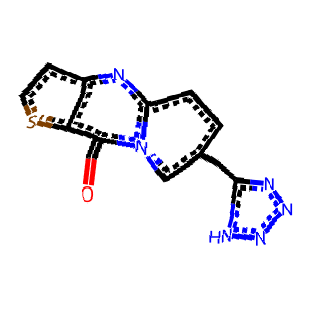 O=c1c2sccc2nc2ccc(-c3nnn[nH]3)cn12